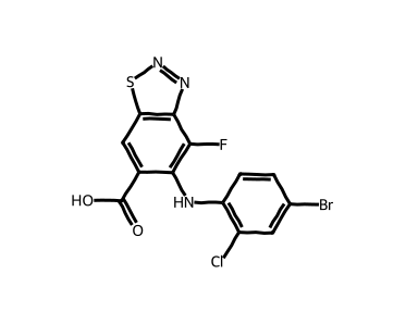 O=C(O)c1cc2snnc2c(F)c1Nc1ccc(Br)cc1Cl